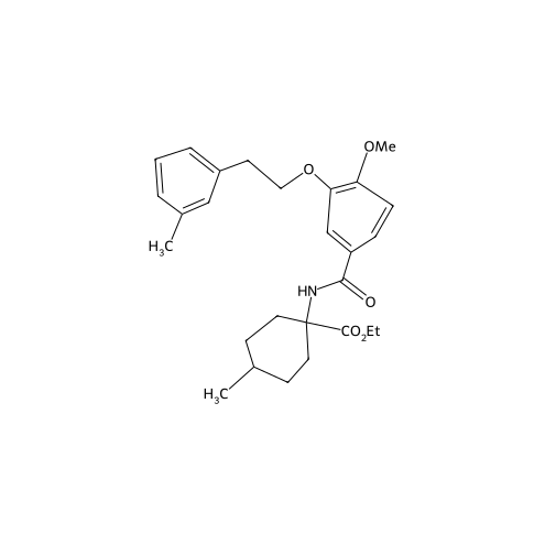 CCOC(=O)C1(NC(=O)c2ccc(OC)c(OCCc3cccc(C)c3)c2)CCC(C)CC1